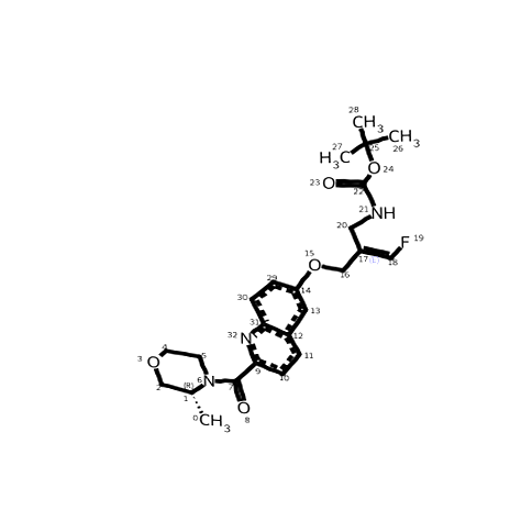 C[C@@H]1COCCN1C(=O)c1ccc2cc(OC/C(=C/F)CNC(=O)OC(C)(C)C)ccc2n1